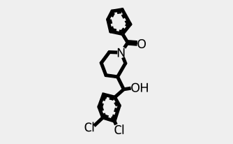 O=C(c1ccccc1)N1CCCC(C(O)c2ccc(Cl)c(Cl)c2)C1